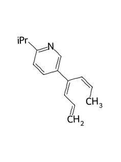 C=C/C=C(\C=C/C)c1ccc(C(C)C)nc1